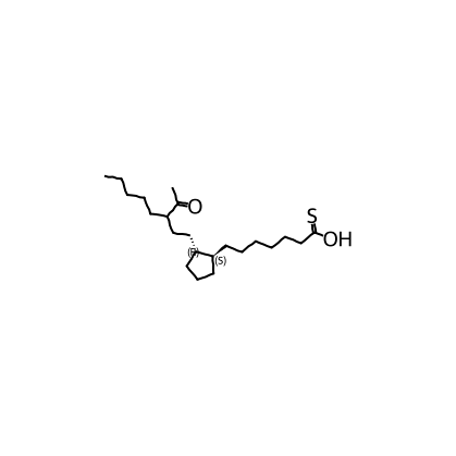 CCCCCC(CC[C@H]1CCC[C@@H]1CCCCCCC(O)=S)C(C)=O